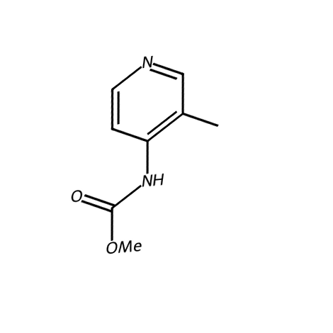 COC(=O)Nc1ccncc1C